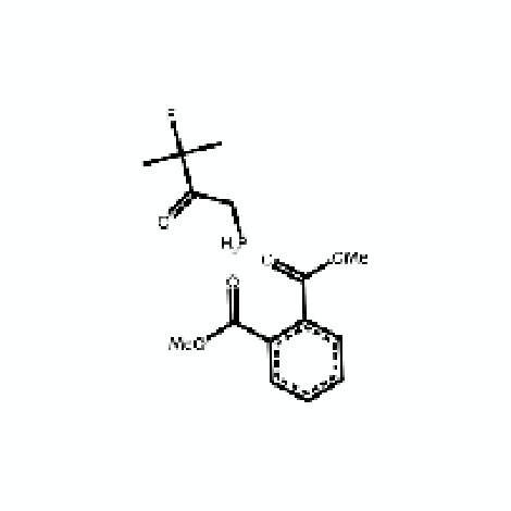 CC(C)(F)C(=O)CP.COC(=O)c1ccccc1C(=O)OC